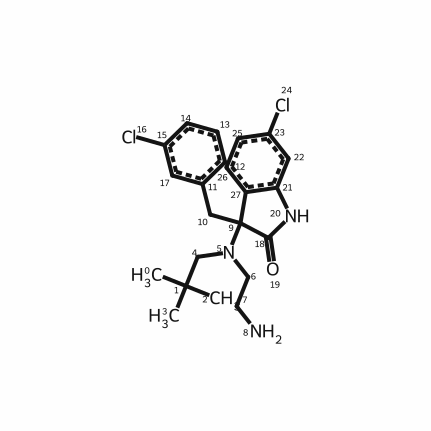 CC(C)(C)CN(CCN)C1(Cc2cccc(Cl)c2)C(=O)Nc2cc(Cl)ccc21